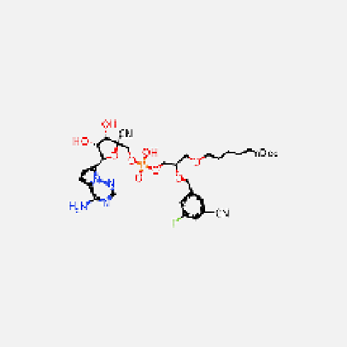 CCCCCCCCCCCCCCCOC[C@H](COP(=O)(O)OC[C@@]1(C#N)O[C@@H](c2ccc3c(N)ncnn23)[C@H](O)[C@@H]1O)OCc1cc(F)cc(C#N)c1